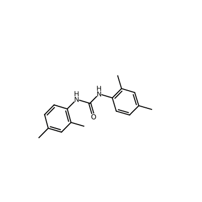 Cc1ccc(NC(=O)Nc2ccc(C)cc2C)c(C)c1